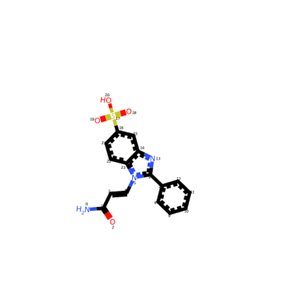 NC(=O)C=Cn1c(-c2ccccc2)nc2cc(S(=O)(=O)O)ccc21